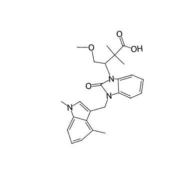 COCC(n1c(=O)n(Cc2cn(C)c3cccc(C)c23)c2ccccc21)C(C)(C)C(=O)O